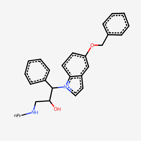 CCCNCC(O)C(c1ccccc1)n1ccc2cc(OCc3ccccc3)ccc21